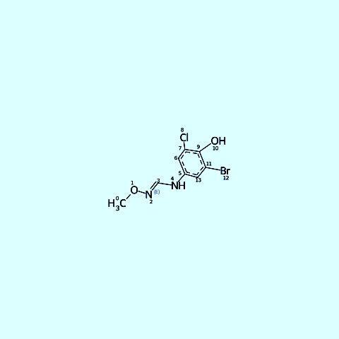 CO/N=C/Nc1cc(Cl)c(O)c(Br)c1